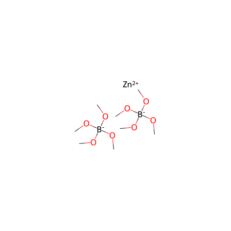 CO[B-](OC)(OC)OC.CO[B-](OC)(OC)OC.[Zn+2]